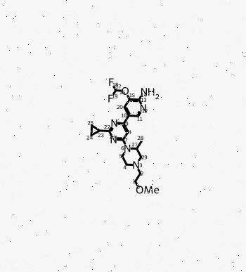 COCCN1CCN(c2cc(-c3cnc(N)c(OC(F)F)c3)nc(C3CC3)n2)C(C)C1